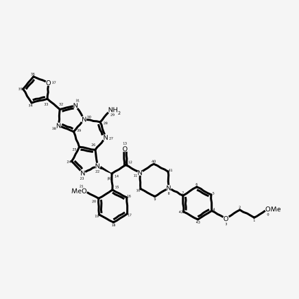 COCCOc1ccc(N2CCN(C(=O)[C@@H](c3ccccc3OC)n3ncc4c3nc(N)n3nc(-c5ccco5)nc43)CC2)cc1